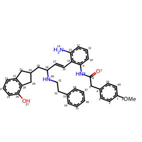 COc1ccc(CC(=O)Nc2cccc(N)c2/C=C/C(CC2Cc3cccc(O)c3C2)NCCc2ccccc2)cc1